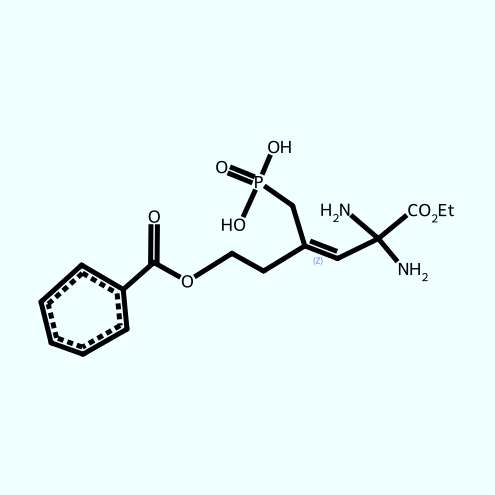 CCOC(=O)C(N)(N)/C=C(/CCOC(=O)c1ccccc1)CP(=O)(O)O